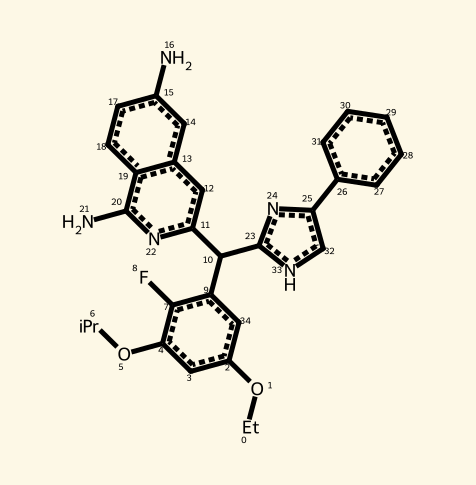 CCOc1cc(OC(C)C)c(F)c(C(c2cc3cc(N)ccc3c(N)n2)c2nc(-c3ccccc3)c[nH]2)c1